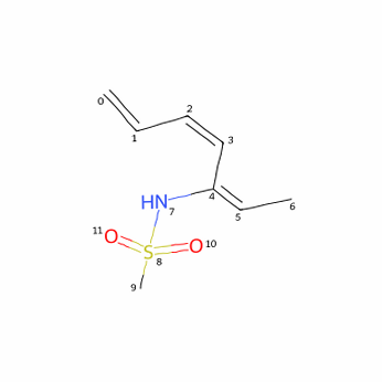 C=C/C=C\C(=C/C)NS(C)(=O)=O